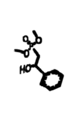 COP(=O)(CC(O)c1ccccc1)OC